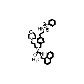 CC(NC(=O)N(CCCN1CCOCC1)Cc1ccc(CCNS(=O)(=O)c2ccccc2)cc1)c1cccc2ccccc12